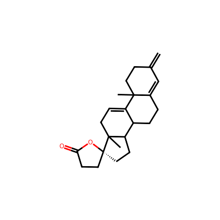 C=C1C=C2CCC3C(=CCC4(C)C3CC[C@@]43CCC(=O)O3)C2(C)CC1